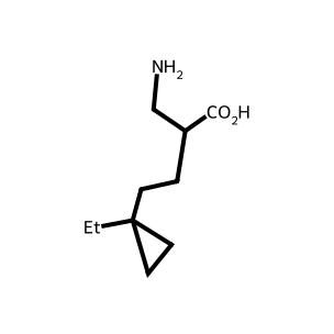 CCC1(CCC(CN)C(=O)O)CC1